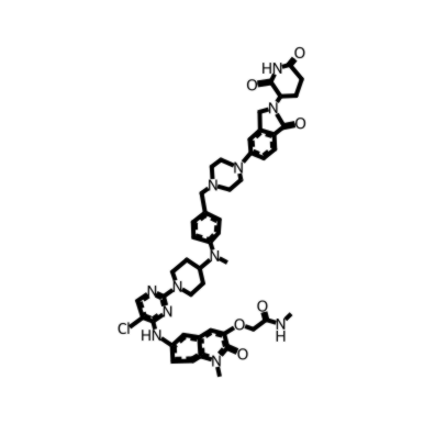 CNC(=O)COc1cc2cc(Nc3nc(N4CCC(N(C)c5ccc(CN6CCN(c7ccc8c(c7)CN(C7CCC(=O)NC7=O)C8=O)CC6)cc5)CC4)ncc3Cl)ccc2n(C)c1=O